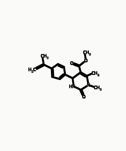 C=C(C)c1ccc(C2NC(=O)N(C)C(C)=C2C(=O)OC)cc1